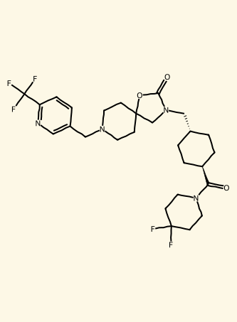 O=C1OC2(CCN(Cc3ccc(C(F)(F)F)nc3)CC2)CN1C[C@H]1CC[C@H](C(=O)N2CCC(F)(F)CC2)CC1